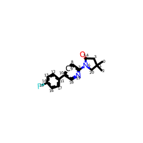 CC1(C)CC(=O)N(c2ccc(-c3ccc(F)cc3)cn2)C1